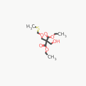 CCOC(=O)C(CO)(COCSC)C(=O)OCC